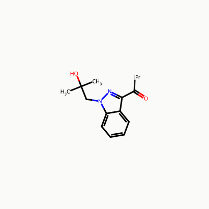 CC(C)C(=O)c1nn(CC(C)(C)O)c2ccccc12